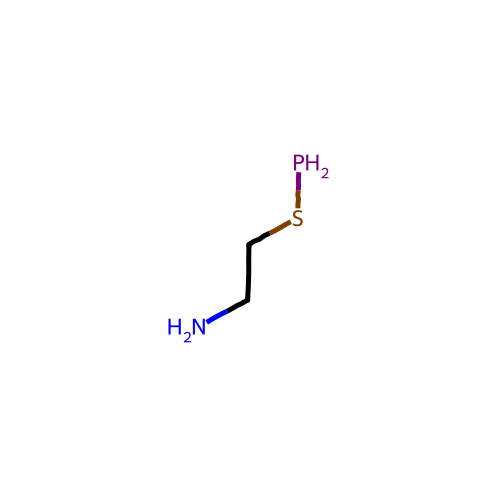 NCCSP